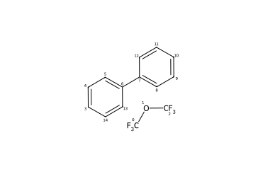 FC(F)(F)OC(F)(F)F.c1ccc(-c2ccccc2)cc1